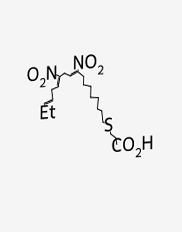 CC/C=C/C/C=C(/C/C=C(/CCCCCCCCSCCC(=O)O)[N+](=O)[O-])[N+](=O)[O-]